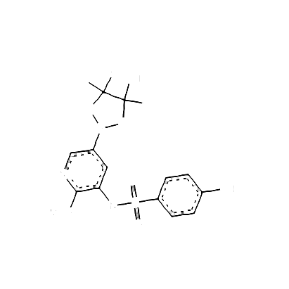 COc1ncc(B2OC(C)(C)C(C)(C)O2)cc1NS(=O)(=O)c1ccc(C)cc1